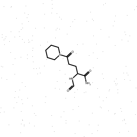 NC(=O)C(CCC(=O)N1CCCCC1)NC=O